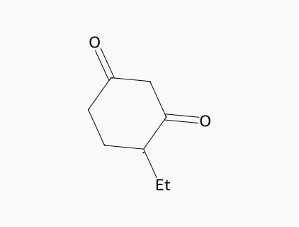 CC[C]1CCC(=O)CC1=O